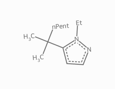 CCCCCC(C)(C)c1ccnn1CC